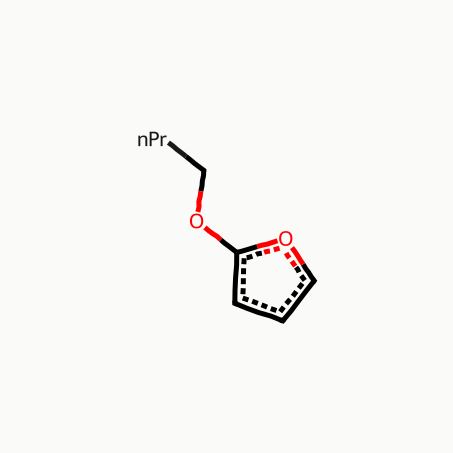 [CH2]CCCOc1ccco1